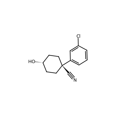 N#C[C@]1(c2cccc(Cl)c2)CC[C@@H](O)CC1